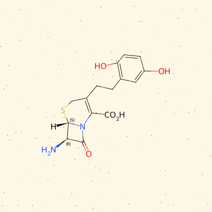 N[C@@H]1C(=O)N2C(C(=O)O)=C(CCc3cc(O)ccc3O)CS[C@@H]12